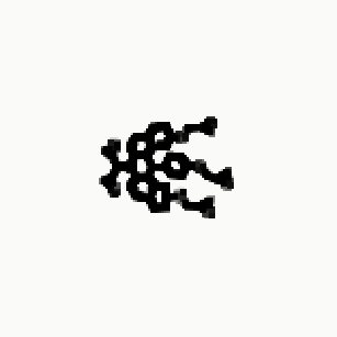 c1cc(C(c2c(OCC3CO3)ccc3ccc(OCC4CO4)cc23)c2c(OCC3CO3)ccc3ccc(OCC4CO4)cc23)ccc1OCC1CO1